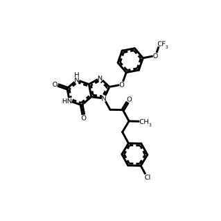 CC(Cc1ccc(Cl)cc1)C(=O)Cn1c(Oc2cccc(OC(F)(F)F)c2)nc2[nH]c(=O)[nH]c(=O)c21